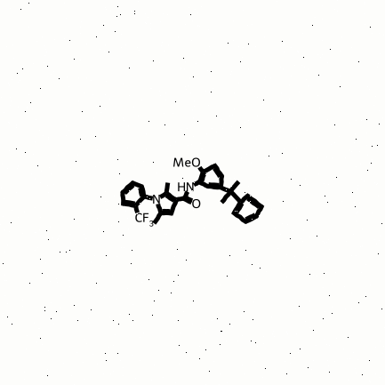 COc1ccc(C(C)(C)c2ccccc2)cc1NC(=O)c1cc(C)n(-c2ccccc2C(F)(F)F)c1C